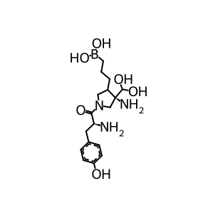 N[C@@H](Cc1ccc(O)cc1)C(=O)N1CC(CCCB(O)O)[C@](N)(C(O)O)C1